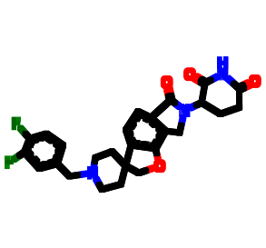 O=C1CCC(N2Cc3c(ccc4c3OCC43CCN(Cc4ccc(F)c(F)c4)CC3)C2=O)C(=O)N1